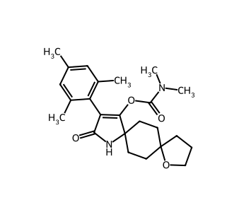 Cc1cc(C)c(C2=C(OC(=O)N(C)C)C3(CCC4(CCCO4)CC3)NC2=O)c(C)c1